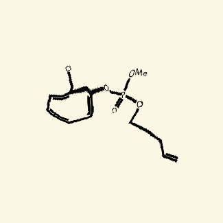 C=CCCOP(=O)(OC)Oc1ccccc1Cl